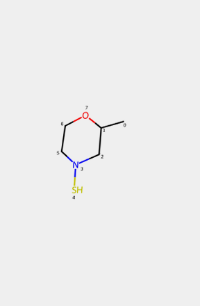 CC1CN(S)CCO1